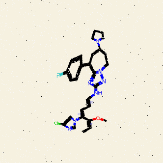 C\C=C(OC)/C(=C\C=C\Nc1nc2n(n1)CCC(N1CCCC1)CC2c1ccc(F)cc1)n1cnc(Cl)c1